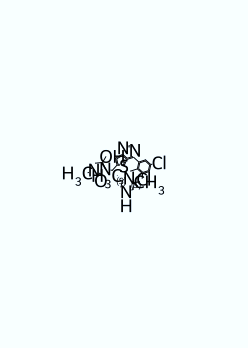 C[C@H]1CNC[C@H](C)N1Cc1c(Cl)cc(Cl)cc1-c1ncnc2cc(CN3C(=O)N(C)CC3O)sc12